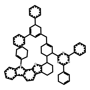 C1=CCCC(c2nc(-c3ccccc3)nc(C3C=C(CC4=CC(c5ccccc5)=CC(c5ccccc5)C4)CCC3C3CCCc4c3oc3c4ccc4c5ccccc5n(C5=CCCCC5)c43)n2)=C1